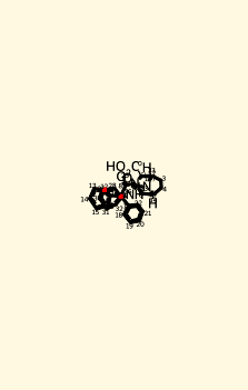 O=C(O)[C@@H]1[C@H]2CC[C@@H](CN1C(=O)C(c1ccccc1)c1ccccc1)N2C(=O)Nc1ccccc1